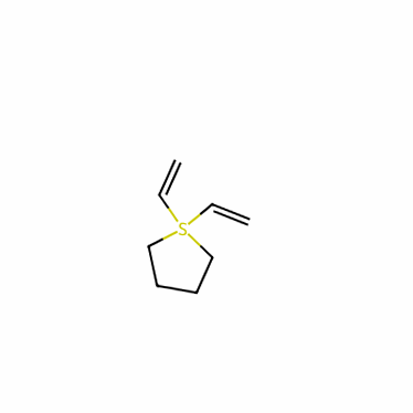 C=CS1(C=C)CCCC1